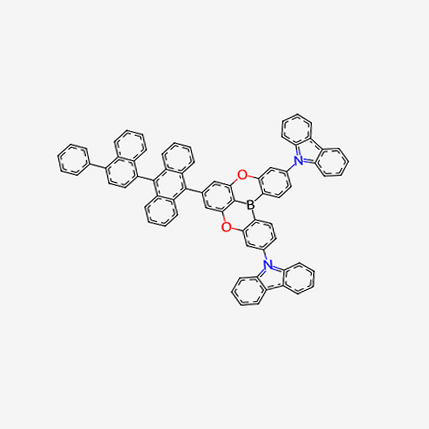 c1ccc(-c2ccc(-c3c4ccccc4c(-c4cc5c6c(c4)Oc4cc(-n7c8ccccc8c8ccccc87)ccc4B6c4ccc(-n6c7ccccc7c7ccccc76)cc4O5)c4ccccc34)c3ccccc23)cc1